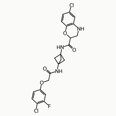 O=C(COc1ccc(Cl)c(F)c1)NC12CC(NC(=O)C3CNc4cc(Cl)ccc4O3)(C1)C2